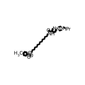 Cc1ccc(S(=O)(=O)OCCCCCCCCCCCCCCNC(=O)c2ccc(N3CCN(CC(C)C)CC3)nc2)cc1